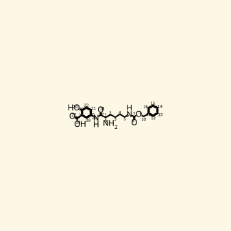 N[C@@H](CCCCNC(=O)OCc1ccccc1)C(=O)Nc1ccc(O)c(C(=O)O)c1